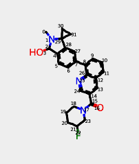 CN1C(O)c2ccc(-c3cccc4cc(C(=O)N5CCCC(F)C5)cnc34)cc2C12CC2